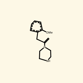 C=C(Cc1ccccc1OC)N1CCNCC1